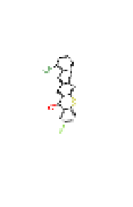 O=c1c2cc(F)ccc2sc2cc3cc4cccc(Cl)c4cc3cc12